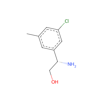 Cc1cc(Cl)cc([C@H](N)CO)c1